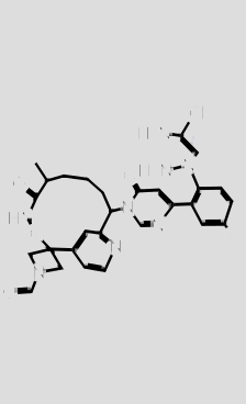 CC1CCCC(n2cnc(-c3cc(Cl)ccc3N(N)/C=C(\N)Cl)cc2=O)c2cc(ccn2)C2(CNC1=O)CN(C=O)C2